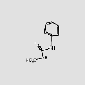 O=C(O)NC(=O)Nc1ccccc1